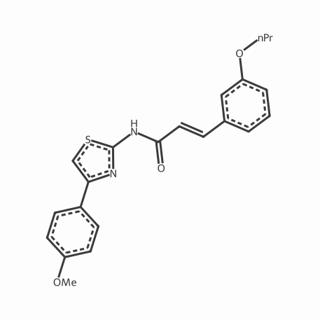 CCCOc1cccc(C=CC(=O)Nc2nc(-c3ccc(OC)cc3)cs2)c1